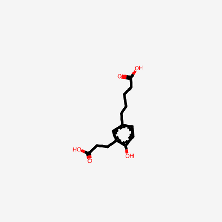 O=C(O)CCCCc1ccc(O)c(CCC(=O)O)c1